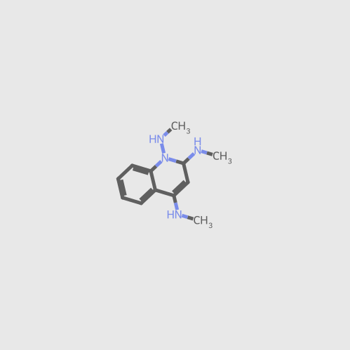 CNC1=CC(NC)N(NC)c2ccccc21